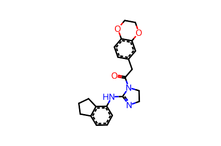 O=C(Cc1ccc2c(c1)OCCO2)N1CCN=C1Nc1cccc2c1CCC2